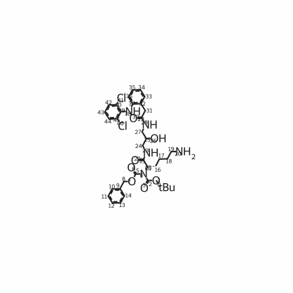 CC(C)(C)OC(=O)N(C(=O)OCc1ccccc1)[C@@H](CCCCN)C(=O)NCC(O)CNC(=O)Cc1ccccc1Nc1c(Cl)cccc1Cl